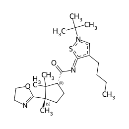 CCCCc1cn(C(C)(C)C)sc1=NC(=O)[C@@H]1CC[C@](C)(C2=NCCO2)C1(C)C